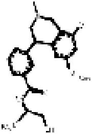 CN1Cc2c(Cl)cc(Cl)cc2C(c2cccc(C(=O)NC(CO)C(=O)O)c2)C1.Cl